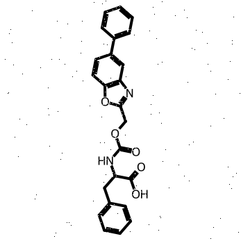 O=C(NC(Cc1ccccc1)C(=O)O)OCc1nc2cc(-c3ccccc3)ccc2o1